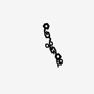 O=C(OCCC1CCN(Cc2ccccc2)CC1)N1CCN(c2ccc(OC(F)(F)F)cc2)CC1